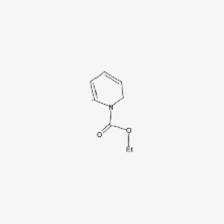 CCOC(=O)N1[C]=CC=CC1